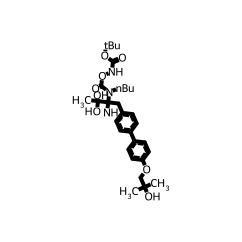 CCCCN(C(=O)ONC(=O)OC(C)(C)C)C(N)(Cc1ccc(-c2ccc(OCC(C)(C)O)cc2)cc1)C(C)(O)O